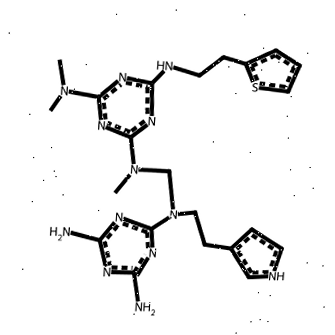 CN(C)c1nc(NCCc2cccs2)nc(N(C)CN(CCc2cc[nH]c2)c2nc(N)nc(N)n2)n1